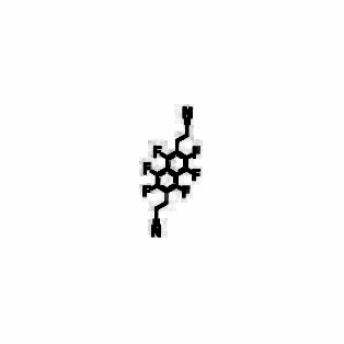 N#CCCc1c(F)c(F)c2c(F)c(CCC#N)c(F)c(F)c2c1F